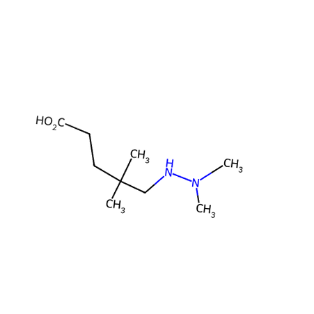 CN(C)NCC(C)(C)CCC(=O)O